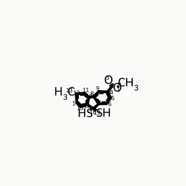 COC(=O)c1ccc2c(c1)-c1cc(C)ccc1C2(S)S